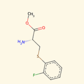 COC(=O)[C@@H](N)CSc1ccccc1F